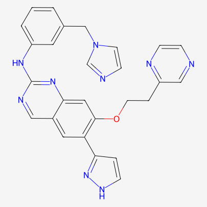 c1cc(Cn2ccnc2)cc(Nc2ncc3cc(-c4cc[nH]n4)c(OCCc4cnccn4)cc3n2)c1